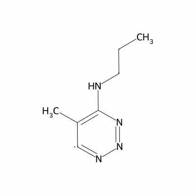 CCCNc1nnn[c]c1C